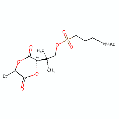 CCC1OC(=O)[C@@H](C(C)(C)COS(=O)(=O)CCCNC(C)=O)OC1=O